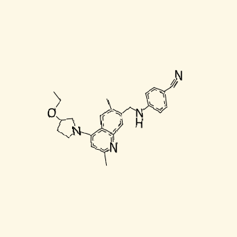 CCOC1CCN(c2cc(C)nc3cc(CNc4ccc(C#N)cc4)c(C)cc23)C1